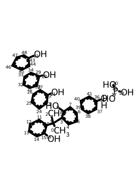 CC(C)(c1ccccc1O)c1ccccc1O.OP(O)O.Oc1ccccc1.Oc1ccccc1.Oc1ccccc1.Oc1ccccc1